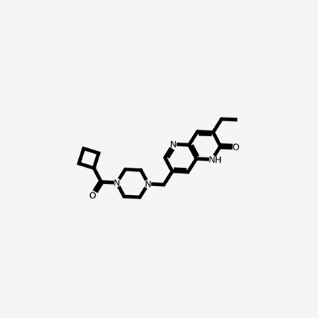 CCc1cc2ncc(CN3CCN(C(=O)C4CCC4)CC3)cc2[nH]c1=O